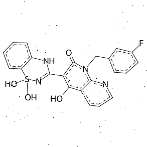 O=c1c(C2=NS(O)(O)c3ccccc3N2)c(O)c2cccnc2n1Cc1cccc(F)c1